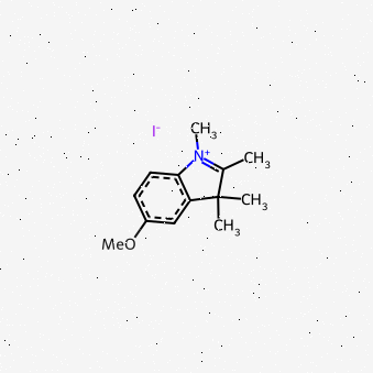 COc1ccc2c(c1)C(C)(C)C(C)=[N+]2C.[I-]